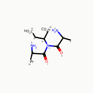 CC(N)C(=O)N(C(=O)C(N)C(C)C)C(CC(=O)O)C(=O)O